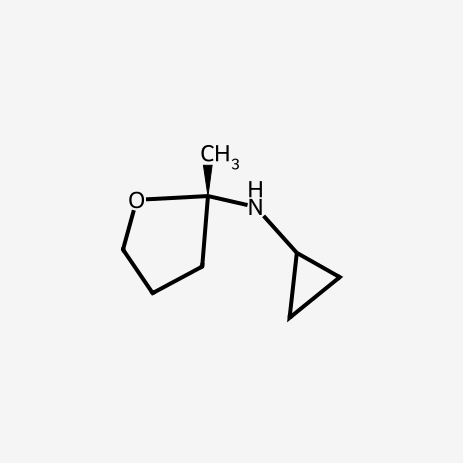 C[C@@]1(NC2CC2)CCCO1